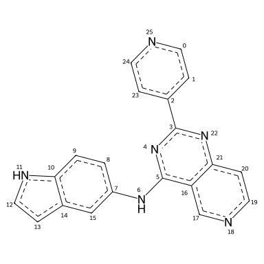 c1cc(-c2nc(Nc3ccc4[nH]ccc4c3)c3cnccc3n2)ccn1